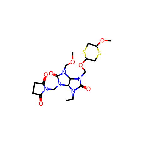 CCN1C(=O)N(COC2CSC(OC)CS2)C2C1N(CN1C(=O)CCC1=O)C(=O)N2COC